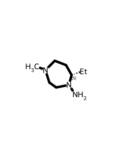 CC[C@H]1CCN(C)CCN1N